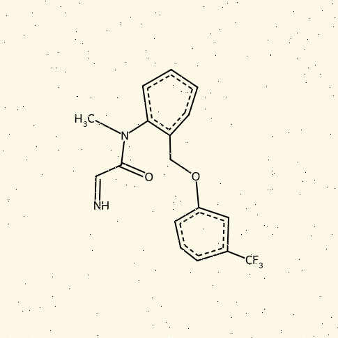 CN(C(=O)C=N)c1ccccc1COc1cccc(C(F)(F)F)c1